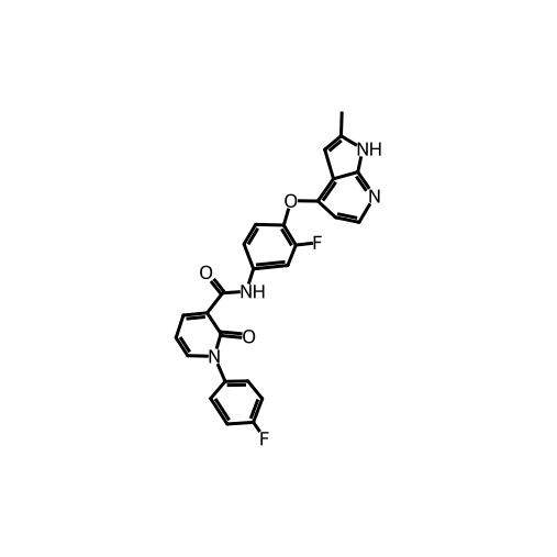 Cc1cc2c(Oc3ccc(NC(=O)c4cccn(-c5ccc(F)cc5)c4=O)cc3F)ccnc2[nH]1